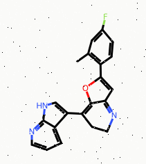 Cc1cc(F)ccc1-c1cc2c(o1)=C(c1c[nH]c3ncccc13)CCN=2